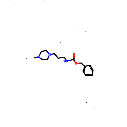 CN1CCN(CCCNC(=O)OCc2ccccc2)CC1